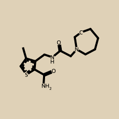 Cc1csc(C(N)=O)c1CNC(=O)CN1CCCCCC1